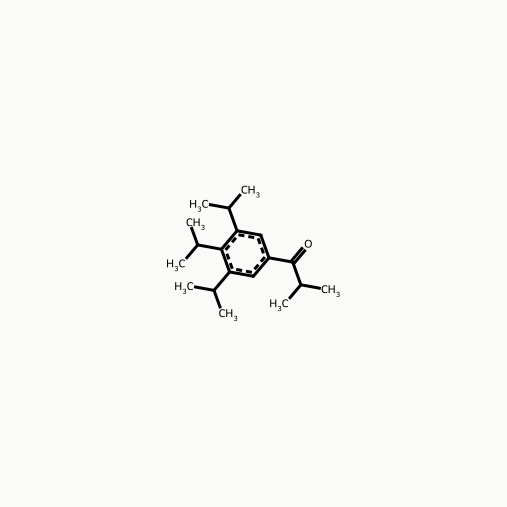 CC(C)C(=O)c1cc(C(C)C)c(C(C)C)c(C(C)C)c1